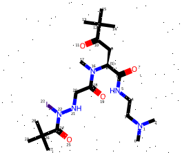 CN(C)CCNC(=O)[C@H](CC(=O)C(C)(C)C)N(C)C(=O)CNN(I)C(=O)C(C)(C)C